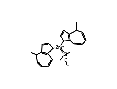 CC1C=CC=CC2=C1C=C[CH]2[Zr+2]([CH]1C=CC2=C1C=CC=CC2C)=[Si](C)C.[Cl-].[Cl-]